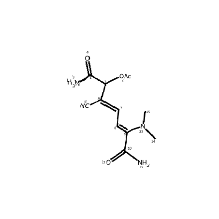 CC(=O)OC(C(N)=O)C(C#N)=CC=C(C(N)=O)N(C)C